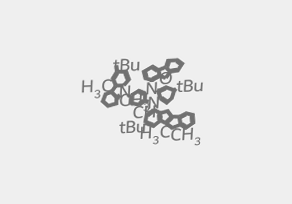 Cc1cc(N2C3C=CC(C(C)(C)C)=CC3C3(C)CCCCC23C)cc2c1N(c1cc(C(C)(C)C)cc3c1CC1=C3C(C)(C)c3ccccc31)C1=CCC(C(C)(C)C)C=C1N2c1cccc2c1oc1ccccc12